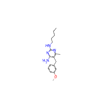 CCCCCNc1nc(C)c(Cc2cccc(OC)c2)c(N)n1